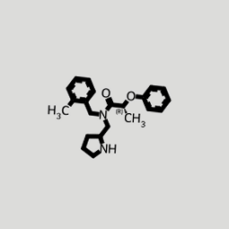 Cc1ccccc1CN(CC1CCCN1)C(=O)[C@@H](C)Oc1ccccc1